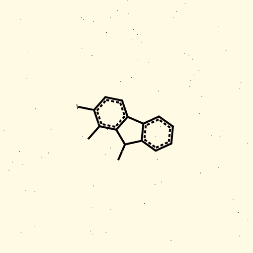 Cc1c(I)ccc2c1C(C)c1ccccc1-2